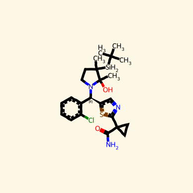 CC(C)(C)[SiH2]C1(C)CCN([C@@H](c2cnc(C3(C(N)=O)CC3)s2)c2ccccc2Cl)C1(C)O